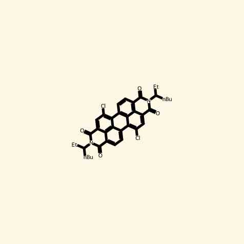 CCCCC(CC)N1C(=O)c2ccc3c4c(Cl)cc5c6c(ccc(c7c(Cl)cc(c2c37)C1=O)c64)C(=O)N(C(CC)CCCC)C5=O